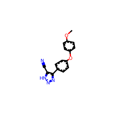 COc1ccc(Oc2ccc(-c3nn[nH]c3C#N)cc2)cc1